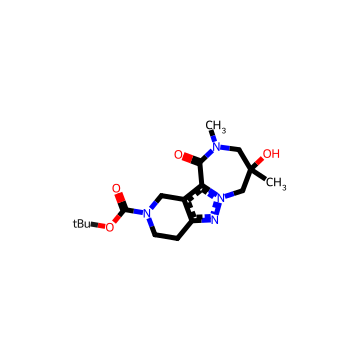 CN1CC(C)(O)Cn2nc3c(c2C1=O)CN(C(=O)OC(C)(C)C)CC3